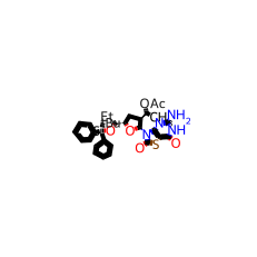 CCC(O[Si](c1ccccc1)(c1ccccc1)C(C)(C)C)[C@@H]1C[C@@H](C(C)OC(C)=O)[C@H](n2c(=O)sc3c(=O)[nH]c(N)nc32)O1